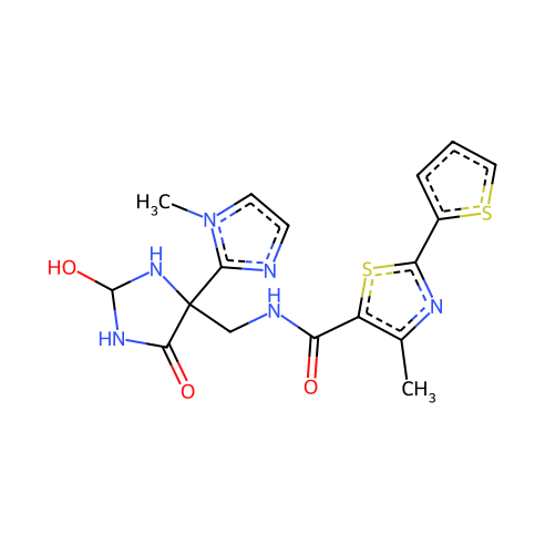 Cc1nc(-c2cccs2)sc1C(=O)NCC1(c2nccn2C)NC(O)NC1=O